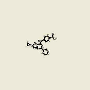 O=C(O)c1ccc(Nc2cc(-c3cccnc3)nc3cc(C4CC4)nn23)cc1